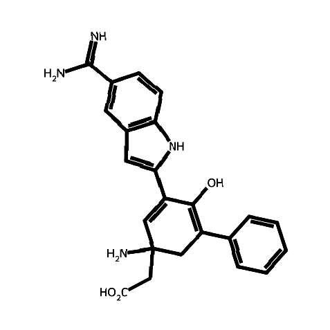 N=C(N)c1ccc2[nH]c(C3=CC(N)(CC(=O)O)CC(c4ccccc4)=C3O)cc2c1